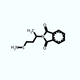 CC(CCSN)N1C(=O)c2ccccc2C1=O